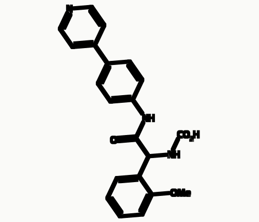 COc1ccccc1C(NC(=O)O)C(=O)Nc1ccc(-c2ccncc2)cc1